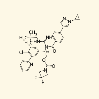 CC(C)(C)CNC(=N)N(C(=O)c1ccc(-c2cnn(C3CC3)c2)cc1)[C@H](COC(=O)N1CC(F)(F)C1)c1ccc(Cl)c(-c2ccccn2)c1